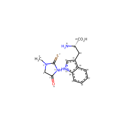 CN1CC(=O)NC1=S.N[C@@H](Cc1c[nH]c2ccccc12)C(=O)O